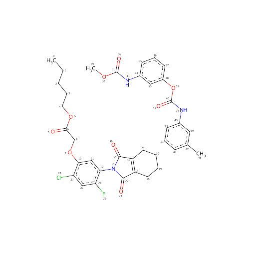 CCCCCOC(=O)COc1cc(N2C(=O)C3=C(CCCC3)C2=O)c(F)cc1Cl.COC(=O)Nc1cccc(OC(=O)Nc2cccc(C)c2)c1